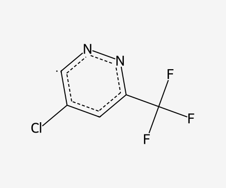 FC(F)(F)c1cc(Cl)[c]nn1